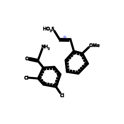 COc1ccccc1/C=C/S(=O)(=O)O.NC(=O)c1ccc(Cl)cc1Cl